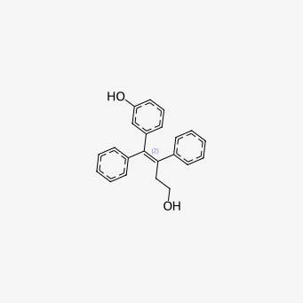 OCC/C(=C(\c1ccccc1)c1cccc(O)c1)c1ccccc1